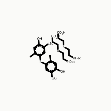 CCCCCCCCCCCCSCCC(=O)O.CCCCCCCCCCCCSCCC(=O)O.Cc1cc(O)c(C(C)(C)C)cc1Sc1cc(C(C)(C)C)c(O)cc1C